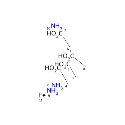 CC(=O)O.CC(=O)O.CC(=O)O.CC(=O)O.N.N.N.[Fe]